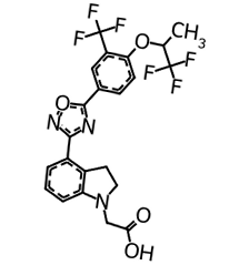 CC(Oc1ccc(-c2nc(-c3cccc4c3CCN4CC(=O)O)no2)cc1C(F)(F)F)C(F)(F)F